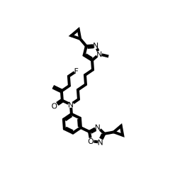 C=C(CCF)C(=O)N(CCCCCc1cc(C2CC2)nn1C)c1cccc(-c2nc(C3CC3)no2)c1